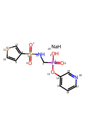 O=P(O)(CNS(=O)(=O)c1ccsc1)Oc1cccnc1.[NaH]